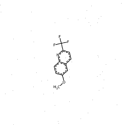 COc1ccc2nc(C(F)(F)F)ccc2c1